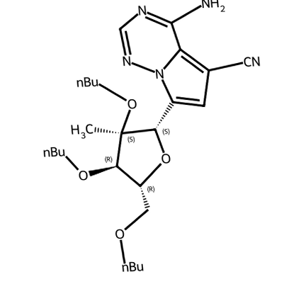 CCCCOC[C@H]1O[C@@H](c2cc(C#N)c3c(N)ncnn23)[C@](C)(OCCCC)[C@@H]1OCCCC